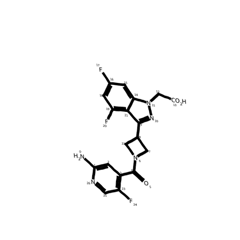 Nc1cc(C(=O)N2CC(c3nn(CC(=O)O)c4cc(F)cc(F)c34)C2)c(F)cn1